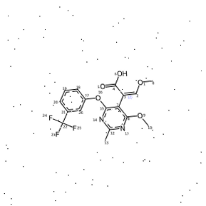 CO/C=C(\C(=O)O)c1c(OC)nc(C)nc1Oc1cccc(C(F)(F)F)c1